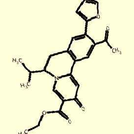 CCOC(=O)c1cn2c(cc1=O)-c1cc(C(C)=O)c(-c3ccco3)cc1CC2C(C)C